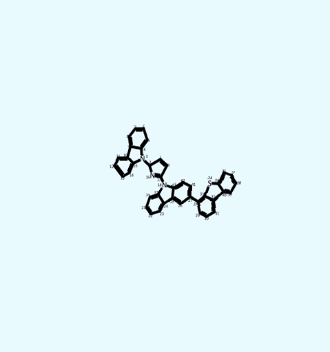 C1=CC(n2c3ccccc3c3ccccc32)N=C1n1c2ccccc2c2cc(-c3cccc4c3sc3ccccc34)ccc21